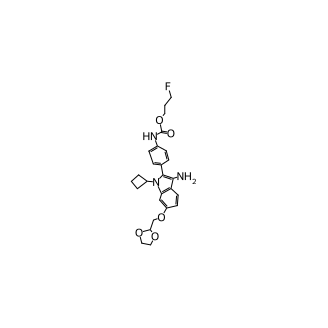 Nc1c(-c2ccc(NC(=O)OCCCF)cc2)n(C2CCC2)c2cc(OCC3OCCO3)ccc12